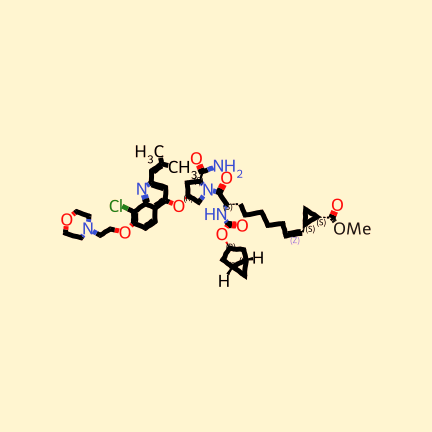 COC(=O)[C@H]1C[C@H]1/C=C\CCCCC[C@H](NC(=O)O[C@@H]1C[C@@H]2C[C@@H]2C1)C(=O)N1C[C@H](Oc2cc(C=C(C)C)nc3c(Cl)c(OCCN4CCOCC4)ccc23)C[C@H]1C(N)=O